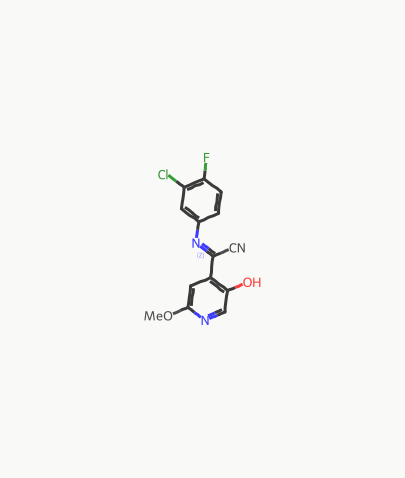 COc1cc(/C(C#N)=N/c2ccc(F)c(Cl)c2)c(O)cn1